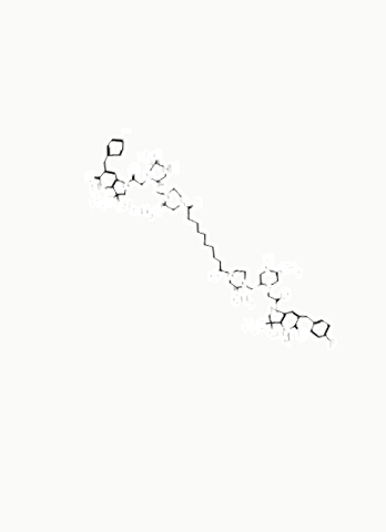 C[C@@H]1CN(CC(=O)N2CC(C)(C)c3[nH]c(=O)c(Cc4ccc(F)cc4)cc32)[C@@H](CN2CCN(C(=O)CCCCCCCCC(=O)N3CCN(C[C@H]4CN[C@H](C)CN4CC(=O)N4CC(C)(C)c5[nH]c(=O)c(Cc6ccc(F)cc6)cc54)[C@H](C)C3)C[C@H]2C)CN1